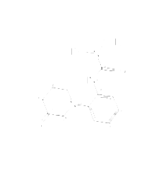 CN(C)C(=O)Nc1ccccc1N1CCCC(=O)C1